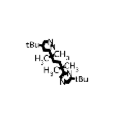 CC(C)(C)c1cnnc(C(C)(C)CCC(C)(C)c2cncc(C(C)(C)C)n2)c1